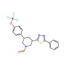 O=CN1CC(c2ccc(OC(F)(F)F)cc2)CC(c2nnc(-c3ccccc3)s2)C1